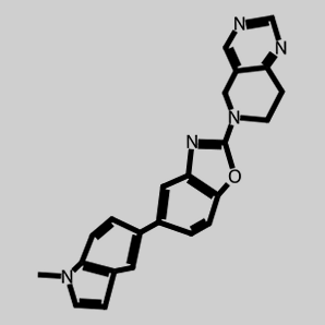 Cn1ccc2cc(-c3ccc4oc(N5CCc6ncncc6C5)nc4c3)ccc21